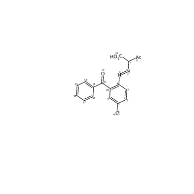 CC(=O)C(N=Nc1ccc(Cl)cc1C(=O)c1ccccc1)C(=O)O